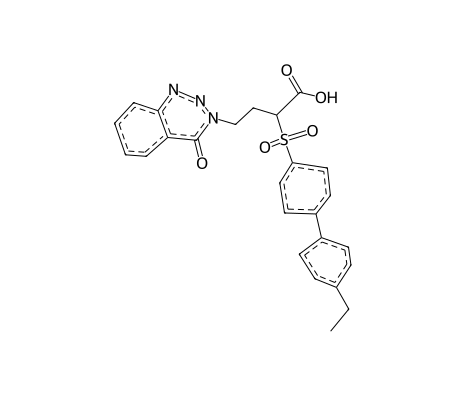 CCc1ccc(-c2ccc(S(=O)(=O)C(CCn3nnc4ccccc4c3=O)C(=O)O)cc2)cc1